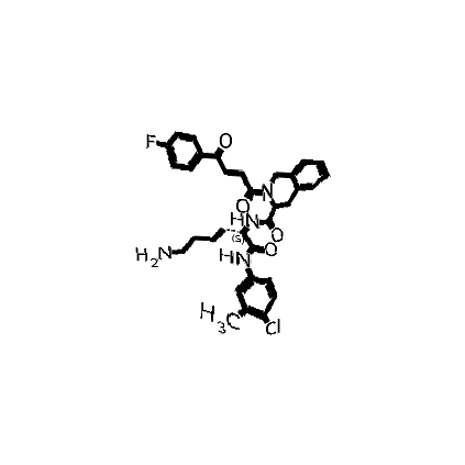 Cc1cc(NC(=O)[C@H](CCCCN)NC(=O)C2Cc3ccccc3CN2C(=O)CCC(=O)c2ccc(F)cc2)ccc1Cl